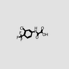 O=C(O)C(=O)Nc1ccc(C(F)(F)F)c(Cl)c1